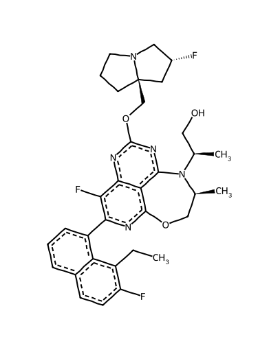 CCc1c(F)ccc2cccc(-c3nc4c5c(nc(OC[C@@]67CCCN6C[C@H](F)C7)nc5c3F)N([C@H](C)CO)[C@@H](C)CO4)c12